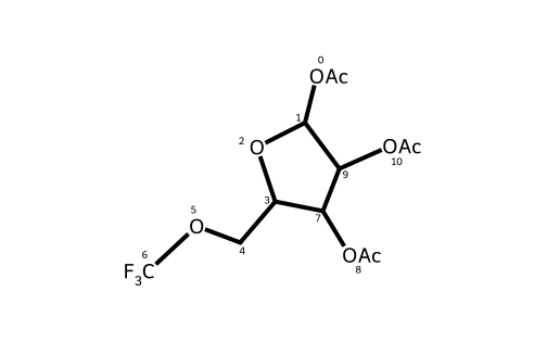 CC(=O)OC1OC(COC(F)(F)F)C(OC(C)=O)C1OC(C)=O